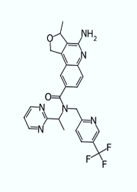 CC1OCc2c1c(N)nc1ccc(C(=O)N(Cc3ccc(C(F)(F)F)cn3)C(C)c3ncccn3)cc21